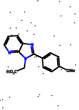 CCOC(=O)Cn1c(-c2ccc(OC)cc2)nc2cccnc21